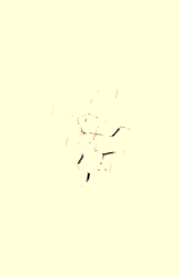 CC=C[C@@]1(n2ccc(=O)[nH]c2=O)O[C@H](CO)[C@@H](O)[C@H]1O